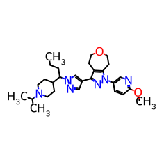 CCCC(C1CCN(C(C)C)CC1)n1cc(-c2nn(-c3ccc(OC)nc3)c3c2CCOCC3)cn1